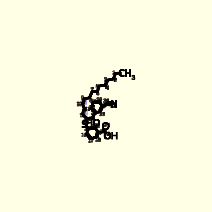 CCCCCCCCC/C=C\C=C\C(Sc1cccc(C(=O)O)c1)C(O)c1cccc(C#N)c1